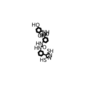 O=C(Nc1cccc(C2C(S)=NN=C2S)c1)Nc1cccc(S(=O)(=O)Nc2cc(O)ccc2O)c1